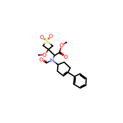 COC(=O)C(N(C=O)C1CC=C(c2ccccc2)CC1)C1(OC)CS(=O)(=O)C1